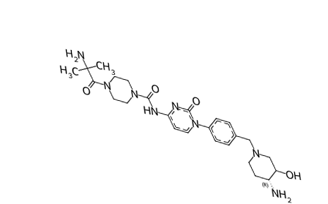 CC(C)(N)C(=O)N1CCN(C(=O)Nc2ccn(-c3ccc(CN4CC[C@@H](N)C(O)C4)cc3)c(=O)n2)CC1